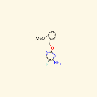 COc1ccccc1COc1ncc(F)c(N)n1